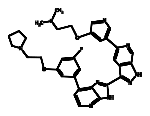 CN(C)CCOc1cncc(-c2cc3c(-c4nc5c(-c6cc(F)cc(OCCN7CCCC7)c6)ccnc5[nH]4)n[nH]c3cn2)c1